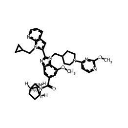 COc1nccc(N2CCC(Cn3c(-c4cc5cccnc5n4CC4CC4)nc4cc(C(=O)N5C[C@H]6CC[C@@H]5[C@@H]6N)cc(OC)c43)CC2)n1